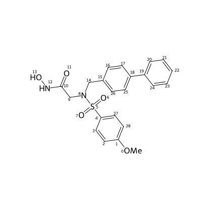 COc1ccc(S(=O)(=O)N(CC(=O)NO)Cc2ccc(-c3ccccc3)cc2)cc1